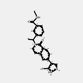 CNC(=O)c1cccc(C(C)n2ccc3cc(-c4cn[nH]c4F)ccc3c2=O)c1